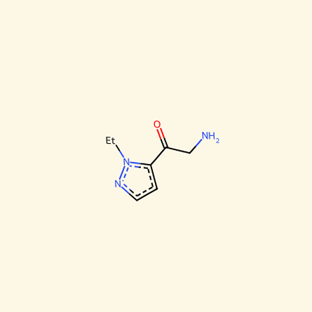 CCn1nccc1C(=O)CN